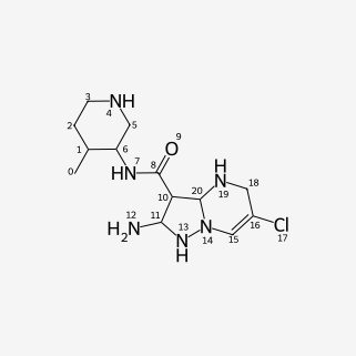 CC1CCNCC1NC(=O)C1C(N)NN2C=C(Cl)CNC12